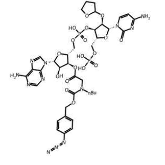 CCCCN(CC(=O)O[C@H]1[C@@H](O)[C@H](n2cnc3c(N)ncnc32)O[C@@H]1COP(=O)(O)O[C@H]1[C@@H](OC2CCCO2)[C@H](n2ccc(N)nc2=O)O[C@@H]1COP(=O)(O)O)C(=O)OCc1ccc(N=[N+]=[N-])cc1